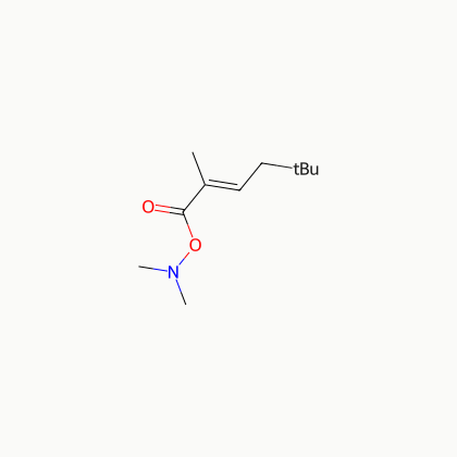 C/C(=C\CC(C)(C)C)C(=O)ON(C)C